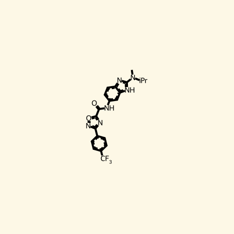 CC(C)N(C)c1nc2ccc(NC(=O)c3nc(-c4ccc(C(F)(F)F)cc4)no3)cc2[nH]1